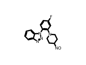 O=NC1CCN(c2cc(F)ccc2-n2nnc3ccccc32)CC1